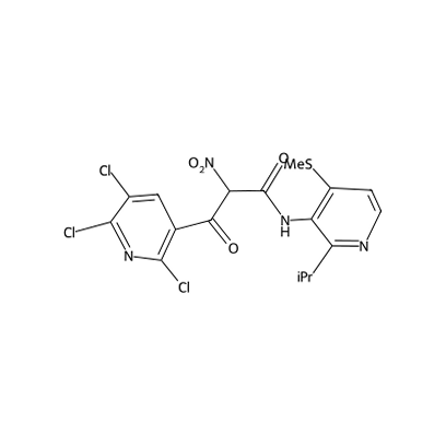 CSc1ccnc(C(C)C)c1NC(=O)C(C(=O)c1cc(Cl)c(Cl)nc1Cl)[N+](=O)[O-]